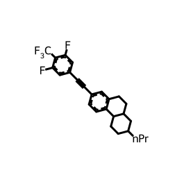 CCCC1CCC2c3ccc(C#Cc4cc(F)c(C(F)(F)F)c(F)c4)cc3CCC2C1